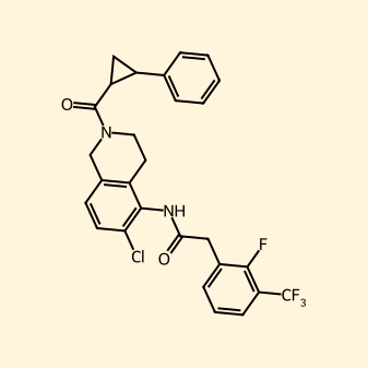 O=C(Cc1cccc(C(F)(F)F)c1F)Nc1c(Cl)ccc2c1CCN(C(=O)C1CC1c1ccccc1)C2